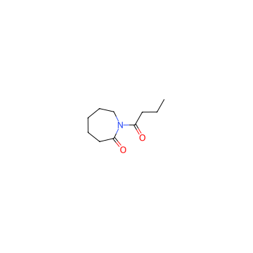 CCCC(=O)N1CCCCCC1=O